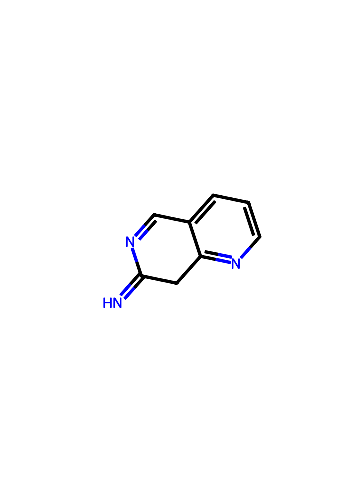 N=C1Cc2ncccc2C=N1